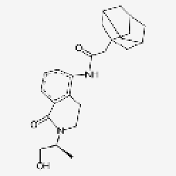 C[C@@H](CO)N1CCc2c(NC(=O)CC34CC5CC(CC(C5)C3)C4)cccc2C1=O